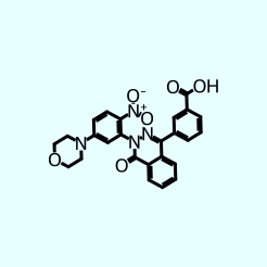 O=C(O)c1cccc(-c2nn(-c3cc(N4CCOCC4)ccc3[N+](=O)[O-])c(=O)c3ccccc23)c1